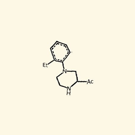 CCc1ccc[c]c1N1CCNC(C(C)=O)C1